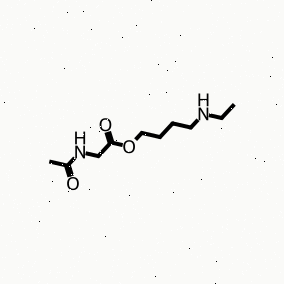 CCNCCCCOC(=O)CNC(C)=O